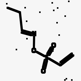 C=CS(=O)(=O)ON=CCC